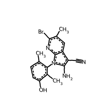 Cc1cc2c(C#N)c(N)n(-c3c(C)ccc(O)c3C)c2nc1Br